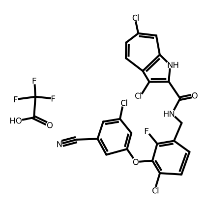 N#Cc1cc(Cl)cc(Oc2c(Cl)ccc(CNC(=O)c3[nH]c4cc(Cl)ccc4c3Cl)c2F)c1.O=C(O)C(F)(F)F